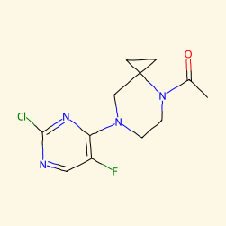 CC(=O)N1CCN(c2nc(Cl)ncc2F)CC12CC2